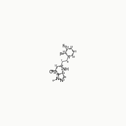 Cn1ncc2[nH]c(CCc3cccc(F)c3F)cc(=O)c21